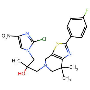 CC(O)(CN1Cc2sc(-c3ccc(F)cc3)nc2C(C)(C)C1)Cn1cc([N+](=O)[O-])nc1Cl